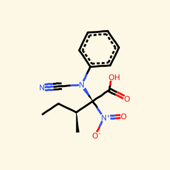 CC[C@H](C)[C@@](C(=O)O)(N(C#N)c1ccccc1)[N+](=O)[O-]